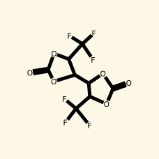 O=C1OC(C2OC(=O)OC2C(F)(F)F)C(C(F)(F)F)O1